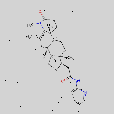 CC1=C2N(C)C(=O)CC[C@]2(C)[C@H]2CC[C@]3(C)[C@@H](CC(=O)Nc4ccccn4)CC[C@H]3[C@@H]2C1